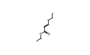 CCCC=CC(=S)SCC